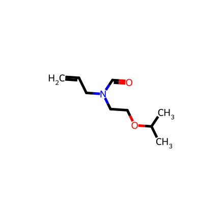 C=CCN(C=O)CCOC(C)C